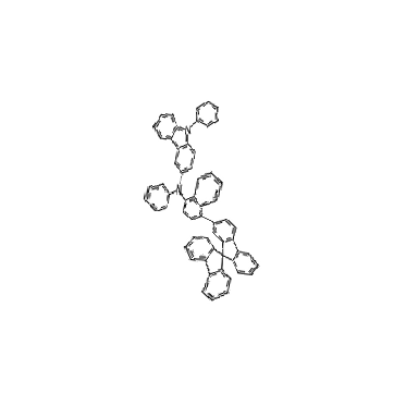 c1ccc(N(c2ccc3c(c2)c2ccccc2n3-c2ccccc2)c2ccc(-c3ccc4c(c3)C3(c5ccccc5-c5ccccc53)c3ccccc3-4)c3ccccc23)cc1